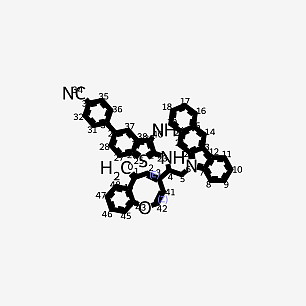 C=C1/C=C(C(Cn2c3ccccc3c3cc4ccccc4cc32)Nc2sc3ccc(-c4ccc(C#N)cc4)cc3c2N)\C=C/Oc2ccccc21